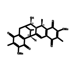 COC1=C(C)C(=O)C2=C(C1=O)[C@@H]1C3=CC4=C(C(=O)C(OC)=C(C)C4=O)[C@H](C)N3[C@@H](O)C(C2)N1C